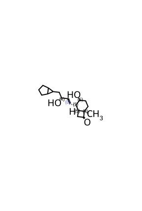 C[C@@]12CC[C@H](O)[C@@H](/C=C/[C@H](O)CC3C4CCCC43)[C@@H]1CC2=O